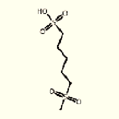 CS(=O)(=O)CCCCCS(=O)(=O)O